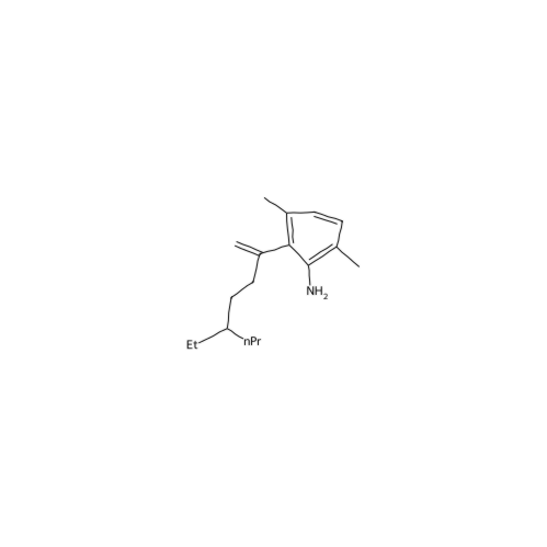 C=C(CCC(CC)CCC)c1c(C)ccc(C)c1N